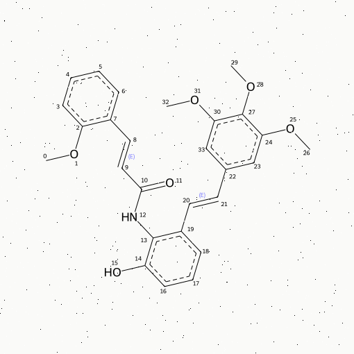 COc1ccccc1/C=C/C(=O)Nc1c(O)cccc1/C=C/c1cc(OC)c(OC)c(OC)c1